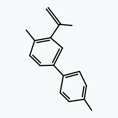 C=C(C)c1cc(-c2ccc(C)cc2)ccc1C